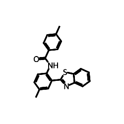 Cc1ccc(C(=O)Nc2ccc(C)cc2-c2nc3ccccc3s2)cc1